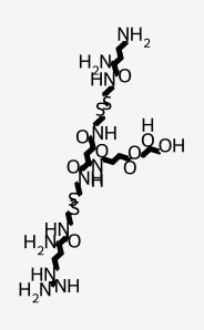 N=C(N)NCCCC(N)C(=O)NCCSSCCNC(=O)C(CCC(=O)NCCSSCCNC(=O)C(N)CCCN)NC(=O)CCC(=O)OC[C@@H](O)CO